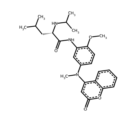 COc1ccc(N(C)c2cc(=O)oc3ccccc23)cc1NC(=O)[C@H](CC(C)C)NC(C)C